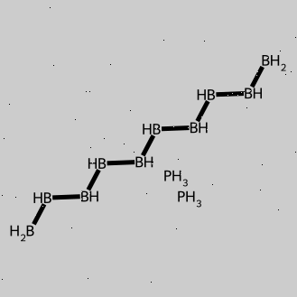 BBBBBBBBBB.P.P